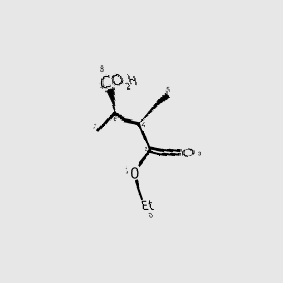 CCOC(=O)[C@H](C)[C@@H](C)C(=O)O